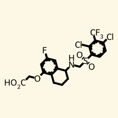 O=C(O)COc1cc(F)cc2c1CCCC2NCS(=O)(=O)c1ccc(Cl)c(C(F)(F)F)c1Cl